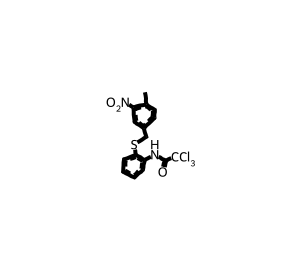 Cc1ccc(CSc2ccccc2NC(=O)C(Cl)(Cl)Cl)cc1[N+](=O)[O-]